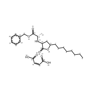 CCCCCCCCC1CC(N[C@@H](C)C(=O)OCc2ccccc2)C(=O)O1.O=C(O)/C=C\C(=O)O